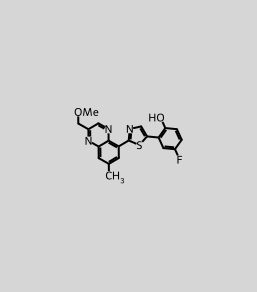 COCc1cnc2c(-c3ncc(-c4cc(F)ccc4O)s3)cc(C)cc2n1